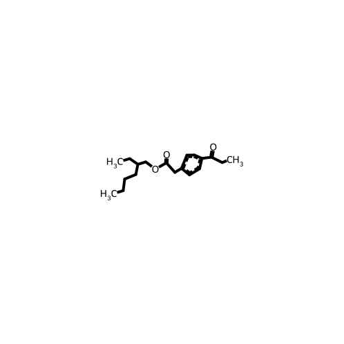 CCCCC(CC)COC(=O)Cc1ccc(C(=O)CC)cc1